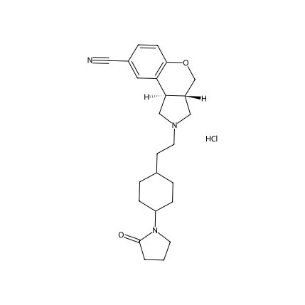 Cl.N#Cc1ccc2c(c1)[C@@H]1CN(CCC3CCC(N4CCCC4=O)CC3)C[C@H]1CO2